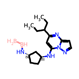 BBN[C@H]1CC[C@H](Nc2cc(C(CC)CC)nc3ccnn23)C1